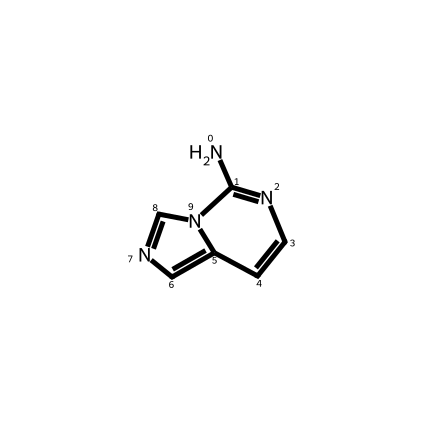 Nc1nccc2cncn12